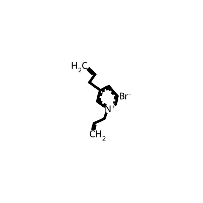 C=CCc1ccc[n+](CC=C)c1.[Br-]